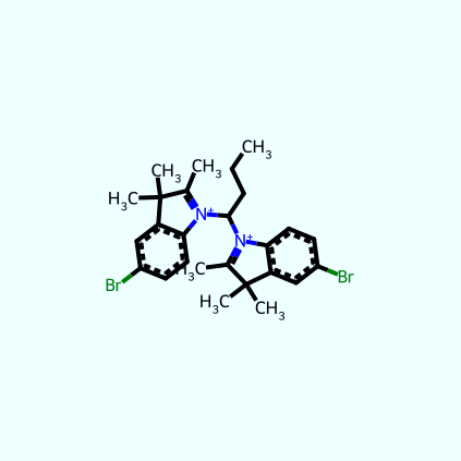 CCCC([N+]1=C(C)C(C)(C)c2cc(Br)ccc21)[N+]1=C(C)C(C)(C)c2cc(Br)ccc21